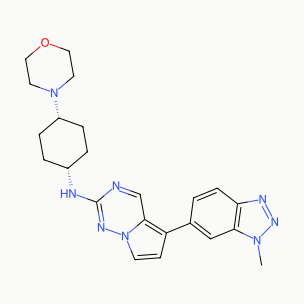 Cn1nnc2ccc(-c3ccn4nc(N[C@H]5CC[C@@H](N6CCOCC6)CC5)ncc34)cc21